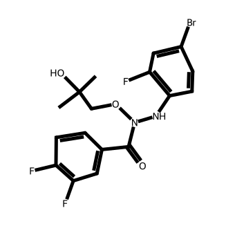 CC(C)(O)CON(Nc1ccc(Br)cc1F)C(=O)c1ccc(F)c(F)c1